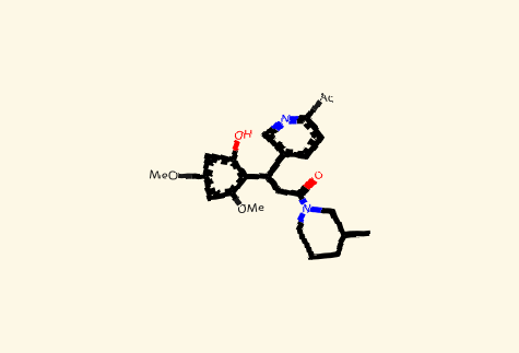 COc1cc(O)c(C(CC(=O)N2CCCC(C)C2)c2ccc(C(C)=O)nc2)c(OC)c1